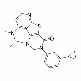 CC(C)N(C)c1ccnc2sc3c(=O)n(-c4cccc(C5CC5)c4)cnc3c12